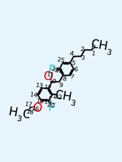 CCCCCc1ccc(CC(=O)c2ccc(OCC)c(F)c2C)c(F)c1